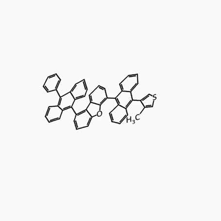 Cc1cscc1-c1c2ccccc2c(-c2cccc3c2oc2cccc(-c4c5ccccc5c(-c5ccccc5)c5ccccc45)c23)c2ccccc12